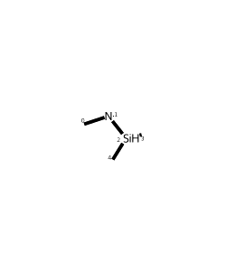 C[N][SiH](C)C